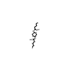 CCCCC(O)OC1CCC(OC(O)CCCC)CC1